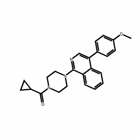 COc1ccc(-c2cnc(N3CCN(C(=O)C4CC4)CC3)c3ccccc23)cc1